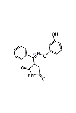 O=C1CC(/C(=N\Oc2cccc(O)c2)c2ccccc2)C(=O)N1